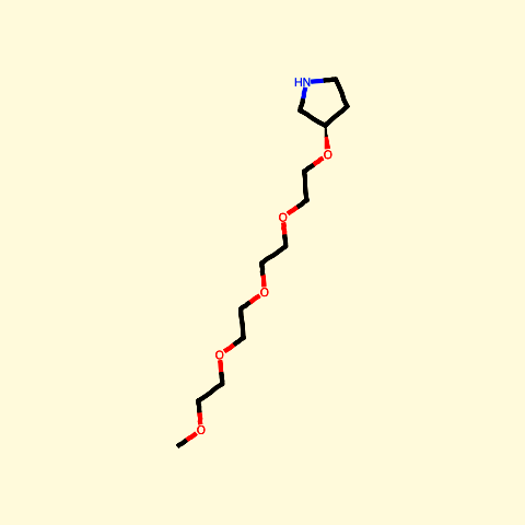 COCCOCCOCCOCCO[C@@H]1CCNC1